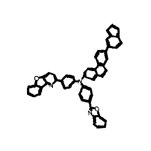 c1ccc2cc(-c3ccc4c(ccc5cc(N(c6ccc(-c7ccc8oc9ccccc9c8n7)cc6)c6ccc(-c7nc8ccccc8o7)cc6)ccc54)c3)ccc2c1